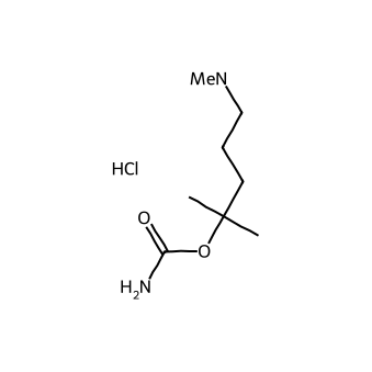 CNCCCC(C)(C)OC(N)=O.Cl